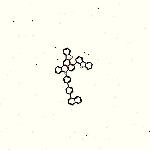 c1ccc(N(c2ccc(-c3ccc(-c4cccc5ccccc45)cc3)cc2)c2ccc(-c3cccc4c3oc3ccccc34)cc2)c(-c2ccc3oc4ccccc4c3c2)c1